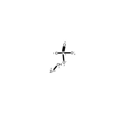 O=P([O-])([O-])[O-].[OH][Zr+3]